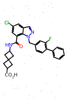 O=C(NC1CC2(C1)CC(C(=O)O)C2)c1cc(Cl)cc2cnn(Cc3ccc(-c4ccccc4)c(F)c3)c12